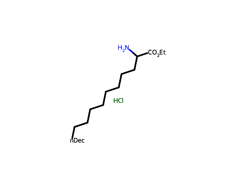 CCCCCCCCCCCCCCCCCCC(N)C(=O)OCC.Cl